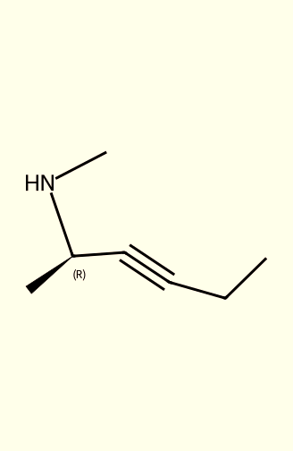 CCC#C[C@@H](C)NC